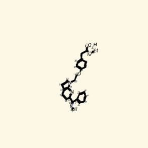 CCOC(Cc1ccc(OCCn2ccc3ccc(/C(=N/O)c4ccccc4)nc32)cc1)C(=O)O